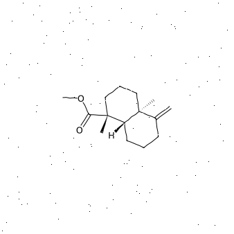 C=C1CCC[C@H]2[C@@]1(C)CCC[C@@]2(C)C(=O)OC